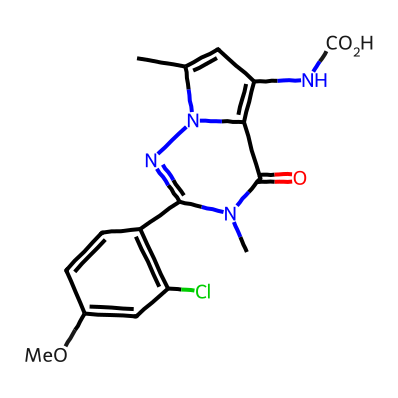 COc1ccc(-c2nn3c(C)cc(NC(=O)O)c3c(=O)n2C)c(Cl)c1